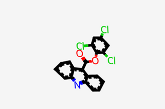 O=C(Oc1c(Cl)cc(Cl)cc1Cl)c1c2ccccc2nc2ccccc12